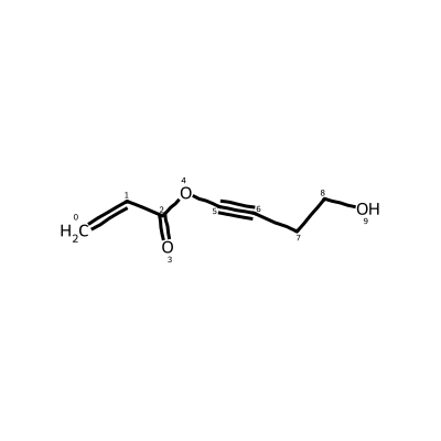 C=CC(=O)OC#CCCO